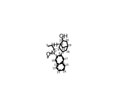 CCC(=NOC)[C@H]1[C@H](c2ccc3ccccc3c2)CC2CC(O)[C@@H]1C2